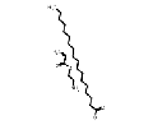 C=CC(=O)OCCN.CCCCCCCCCCCCCCCCCC(=O)O